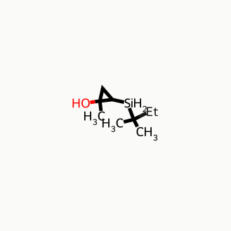 CCC(C)(C)[SiH2]C1CC1(C)O